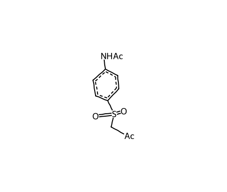 CC(=O)CS(=O)(=O)c1ccc(NC(C)=O)cc1